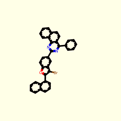 Brc1c(-c2cccc3ccccc23)oc2ccc(-c3nc(-c4ccccc4)c4ccc5ccccc5c4n3)cc12